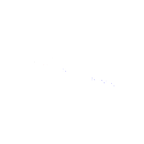 COc1cccc2cc(CN=[N+]=[N-])c(-c3cccc(F)c3)nc12